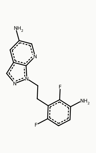 Nc1cnc2c(cnn2CCc2c(F)ccc(N)c2F)c1